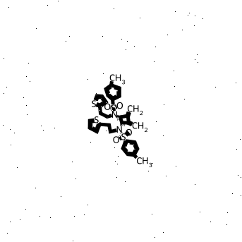 C=C1C(=C)[C@H](N(CCc2cccs2)S(=O)(=O)c2ccc(C)cc2)[C@H]1N(CCc1cccs1)S(=O)(=O)c1ccc(C)cc1